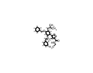 CCNC(=O)c1noc(-c2cc(CC(C)C)c(OCc3ccccc3)cc2OCc2ccccc2)c1C